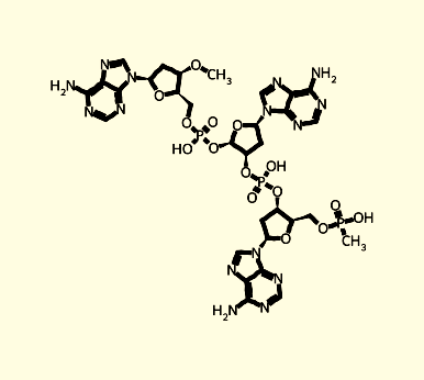 CO[C@@H]1C[C@H](n2cnc3c(N)ncnc32)O[C@@H]1COP(=O)(O)O[C@H]1O[C@@H](n2cnc3c(N)ncnc32)C[C@H]1OP(=O)(O)O[C@@H]1C[C@H](n2cnc3c(N)ncnc32)O[C@@H]1COP(C)(=O)O